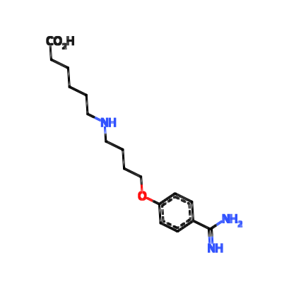 N=C(N)c1ccc(OCCCCNCCCCCC(=O)O)cc1